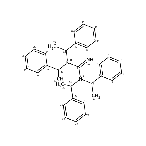 CC(c1ccccc1)N(C(=N)N(C(C)c1ccccc1)C(C)c1ccccc1)C(C)c1ccccc1